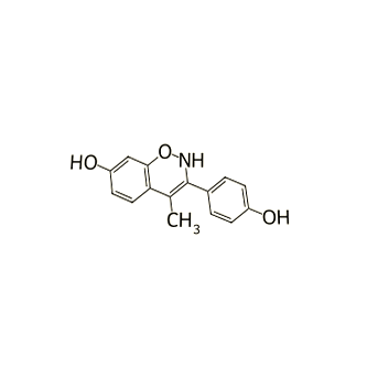 CC1=C(c2ccc(O)cc2)NOc2cc(O)ccc21